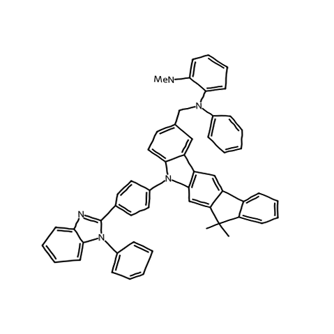 CNc1ccccc1N(Cc1ccc2c(c1)c1cc3c(cc1n2-c1ccc(-c2nc4ccccc4n2-c2ccccc2)cc1)C(C)(C)c1ccccc1-3)c1ccccc1